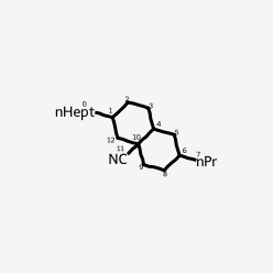 CCCCCCCC1CCC2CC(CCC)CCC2(C#N)C1